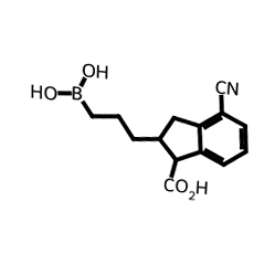 N#Cc1cccc2c1CC(CCCB(O)O)C2C(=O)O